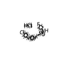 Cl.Cl.O=C(Nc1ccc(F)cc1)SCCCN1CCN(Cc2ccc(Cl)cc2)CC1